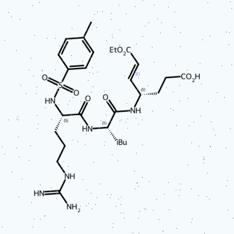 CCOC(=O)/C=C/[C@H](CCC(=O)O)NC(=O)[C@@H](NC(=O)[C@H](CCCNC(=N)N)NS(=O)(=O)c1ccc(C)cc1)C(C)CC